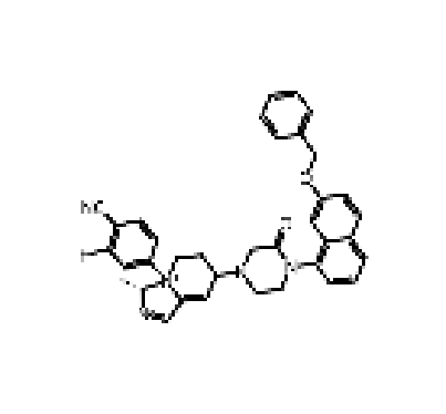 C[C@H]1N=CC2=CC(N3CCN(c4cccc5ccc(OCc6ccccc6)cc45)C(=O)C3)CC[N@+]21c1ccc(C#N)c(F)c1